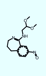 COC(CNC1=NCCCc2ccc(N=O)cc21)OC